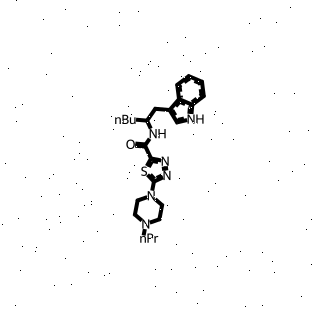 CCCCC(Cc1c[nH]c2ccccc12)NC(=O)c1nnc(N2CCN(CCC)CC2)s1